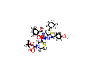 COc1ccc(CC(SCC2CCCCC2)C(CNC(=O)c2ccccc2O)NC(=O)[C@H]2CN(C(=O)OC(C)(C)C)CCS2)cc1